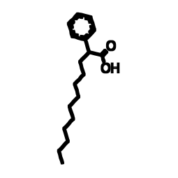 CCCCCCCCCCC(C(=O)O)c1ccccc1